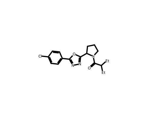 CCC(CC)C(=O)N1CCCC1c1nnc(-c2ccc(Cl)cc2)o1